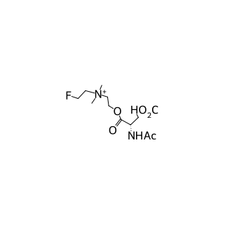 CC(=O)N[C@@H](CC(=O)O)C(=O)OCC[N+](C)(C)CCF